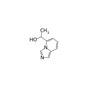 CC(O)c1cccc2cncn12